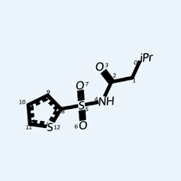 CC(C)CC(=O)NS(=O)(=O)c1cccs1